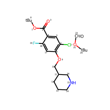 CC(C)(C)OC(=O)c1cc(Cl)c(OCC2CCCNC2)cc1F.CC(C)(C)OC=O